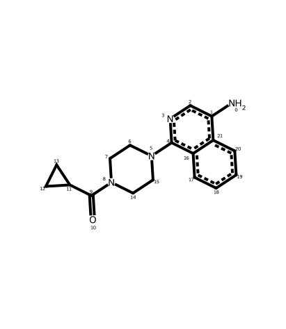 Nc1cnc(N2CCN(C(=O)C3CC3)CC2)c2ccccc12